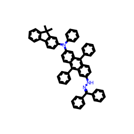 CC1(C)c2ccccc2-c2ccc(N(c3ccccc3)c3ccc4c(-c5ccccc5)c5cc(NN=C(c6ccccc6)c6ccccc6)ccc5c(-c5ccccc5)c4c3)cc21